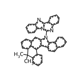 CC1(C)c2ccccc2-c2c3c1cccc3cc1c2c2ccc3ccccc3c2n1-c1nc2ccccc2c2nc3ccccc3n12